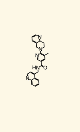 Cc1cc(C(=O)NCc2ccnc3ccccc23)cnc1N1CCc2ncccc2C1